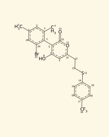 Cc1cc(C)c(-c2c(O)cc(CCSc3ccc(C(F)(F)F)cc3)oc2=O)c(Br)c1